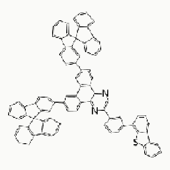 C1=CC2=C(CC1)c1ccccc1C21c2ccccc2-c2ccc(-c3ccc4c(c3)c3cc(-c5ccc6c(c5)C5(c7ccccc7-c7ccccc75)c5ccccc5-6)ccc3c3ncc(-c5cccc(-c6cccc7c6sc6ccccc67)c5)nc43)cc21